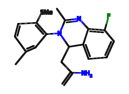 C=C(N)CC1c2cccc(F)c2N=C(C)N1c1cc(C)ccc1SC